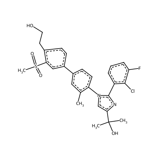 Cc1cc(-c2ccc(CCO)c(S(C)(=O)=O)c2)ccc1-n1cc(C(C)(C)O)nc1-c1cccc(F)c1Cl